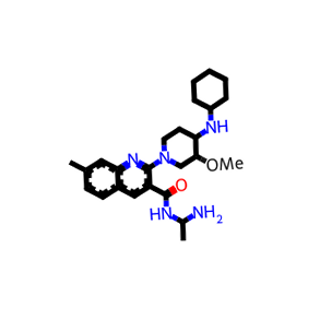 COC1CN(c2nc3cc(C)ccc3cc2C(=O)NC(C)N)CCC1NC1CCCCC1